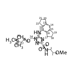 COCCNS(=O)(=O)c1nc(Nc2c3c(cc4c2CCC4)CCC3)n(COCC[Si](C)(C)C)n1